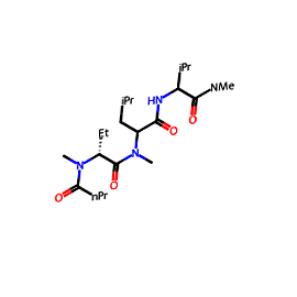 CCCC(=O)N(C)[C@H](CC)C(=O)N(C)C(CC(C)C)C(=O)NC(C(=O)NC)C(C)C